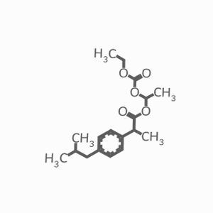 CCOC(=O)OC(C)OC(=O)C(C)c1ccc(CC(C)C)cc1